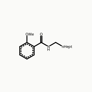 CCCCCCCCNC(=O)c1ccccc1OC